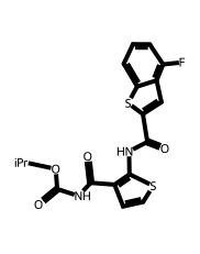 CC(C)OC(=O)NC(=O)c1ccsc1NC(=O)c1cc2c(F)cccc2s1